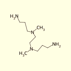 CN(CCCN)CCN(C)CCCN